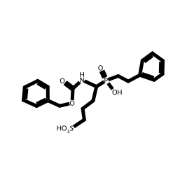 O=C(NC(CCCS(=O)(=O)O)P(=O)(O)CCc1ccccc1)OCc1ccccc1